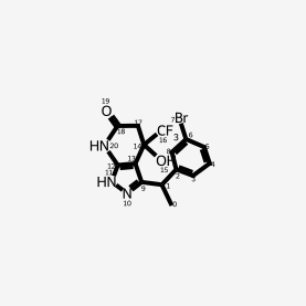 CC(c1cccc(Br)c1)c1n[nH]c2c1C(O)(C(F)(F)F)CC(=O)N2